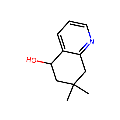 CC1(C)Cc2ncccc2C(O)C1